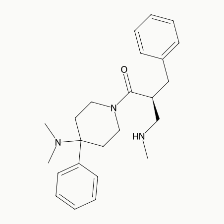 CNC[C@H](Cc1ccccc1)C(=O)N1CCC(c2ccccc2)(N(C)C)CC1